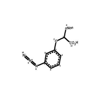 CCCCCCCCCC(Oc1cccc(N=[N+]=[N-])c1)C(=O)O